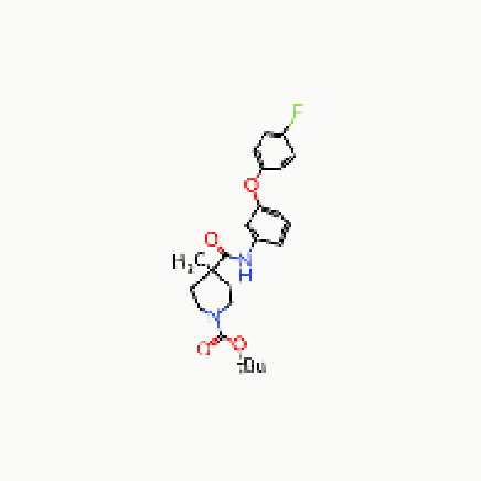 CC(C)(C)OC(=O)N1CCC(C)(C(=O)Nc2cccc(Oc3ccc(F)cc3)c2)CC1